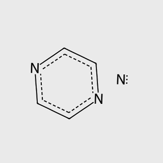 [N].c1cnccn1